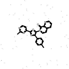 Cc1ccc(-c2nc(-c3ccnc(C)n3)oc2-n2ccc3cccnc3c2=O)cc1